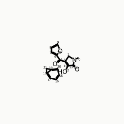 CN1CC(C(=O)c2ccco2)=C(O)C1=O.c1ccc2c(c1)C2